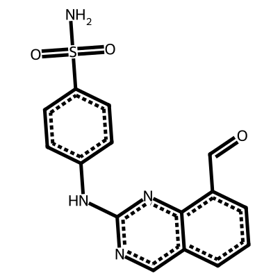 NS(=O)(=O)c1ccc(Nc2ncc3cccc(C=O)c3n2)cc1